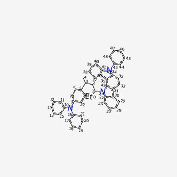 CCC(CC(C)c1ccc(N(c2ccccc2)c2ccccc2)cc1)n1c2ccccc2c2ccc3c(c4ccccc4n3-c3ccccc3)c21